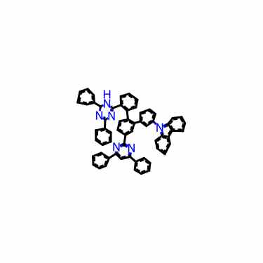 c1ccc(C2=NC(c3ccccc3)NC(c3ccccc3-c3ccc(-c4nc(-c5ccccc5)cc(-c5ccccc5)n4)cc3-c3cccc(-n4c5ccccc5c5ccccc54)c3)=N2)cc1